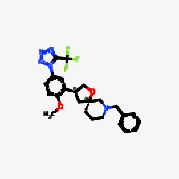 COc1ccc(-n2nnnc2C(F)(F)F)cc1[C@H]1CO[C@]2(CCCN(Cc3ccccc3)C2)C1